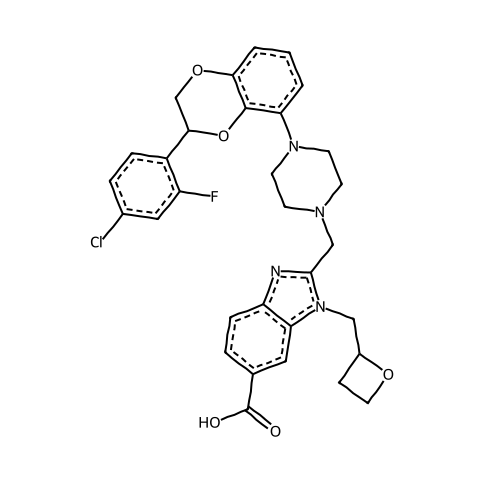 O=C(O)c1ccc2nc(CN3CCN(c4cccc5c4OC(c4ccc(Cl)cc4F)CO5)CC3)n(CC3CCO3)c2c1